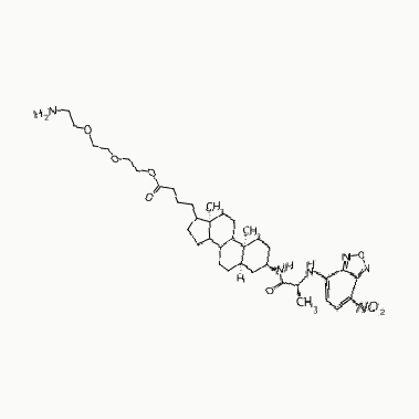 C[C@H](Nc1ccc([N+](=O)[O-])c2nonc12)C(=O)N[C@@H]1CC[C@]2(C)C3CC[C@]4(C)C(CCCC(=O)OCCOCCOCCN)CCC4C3CC[C@@H]2C1